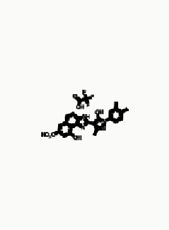 Cc1ccc(-n2nc(C)c(-c3nc4c(ccc5cc(C(=O)O)cc(O)c54)[nH]3)c2O)cc1C.O=C(O)C(F)(F)F